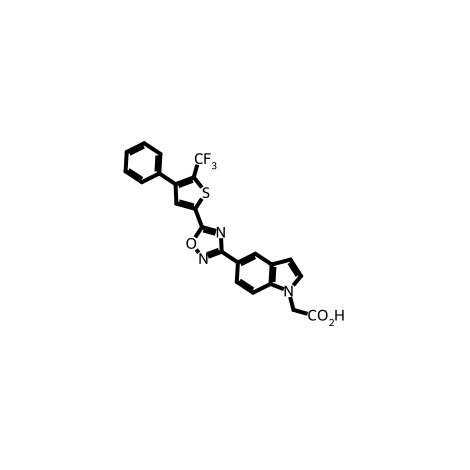 O=C(O)Cn1ccc2cc(-c3noc(-c4cc(-c5ccccc5)c(C(F)(F)F)s4)n3)ccc21